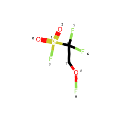 O=S(=O)(F)C(F)(F)COF